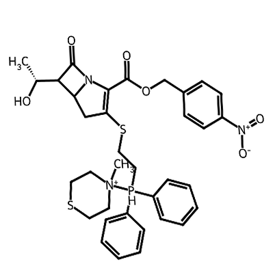 C[C@@H](O)C1C(=O)N2C(C(=O)OCc3ccc([N+](=O)[O-])cc3)=C(SCC[PH](c3ccccc3)(c3ccccc3)[N+]3(C)CCSCC3)CC12